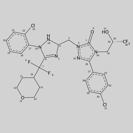 O=c1n(CC2N=C(C(F)(F)C3CCOCC3)N(c3ccccc3Cl)N2)nc(-c2ccc(Cl)cc2)n1C[C@H](O)C(F)(F)F